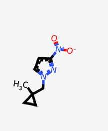 CC1(Cn2ccc([N+](=O)[O-])n2)CC1